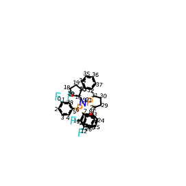 Fc1cccc(P(c2cccc(F)c2F)N(C2CCCC2)P2[C@H](c3ccccc3)CC[C@H]2c2ccccc2)c1F